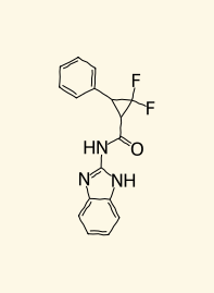 O=C(Nc1nc2ccccc2[nH]1)C1C(c2ccccc2)C1(F)F